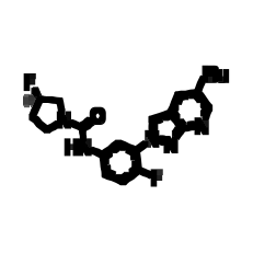 CCC(C)c1cnc2nn(-c3cc(NC(=O)N4CC[C@@H](F)C4)ccc3F)cc2c1